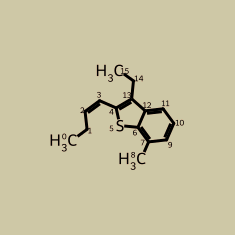 CC/C=C\c1sc2c(C)cccc2c1CC